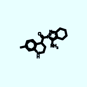 Cc1ccc2c(c1)NCCC2C(=O)n1nc2c(c1N)CCCC2